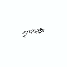 O=C1CNC2(CCC(S(=O)(=O)c3ccc(-c4ccc5scnc5c4)cc3F)CC2)CC1C1CC1